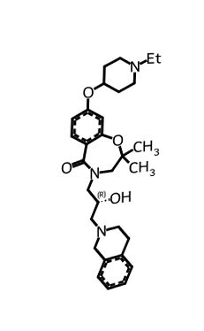 CCN1CCC(Oc2ccc3c(c2)OC(C)(C)CN(C[C@H](O)CN2CCc4ccccc4C2)C3=O)CC1